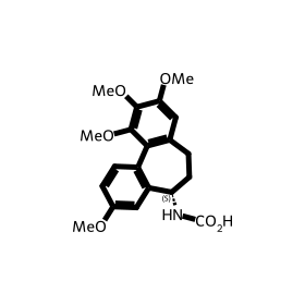 COc1ccc2c(c1)[C@@H](NC(=O)O)CCc1cc(OC)c(OC)c(OC)c1-2